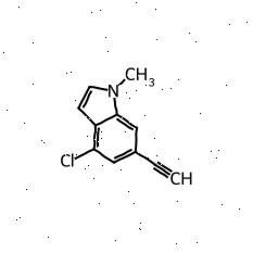 C#Cc1cc(Cl)c2ccn(C)c2c1